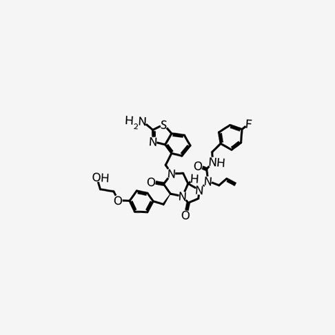 C=CCN(C(=O)NCc1ccc(F)cc1)N1CC(=O)N2[C@@H](Cc3ccc(OCCO)cc3)C(=O)N(Cc3cccc4sc(N)nc34)C[C@@H]21